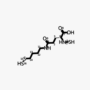 O=C(CC[C@@H](NS)C(=O)O)NCCCCSS